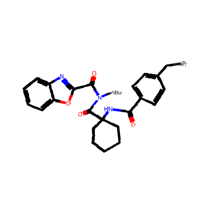 CCCCN(C(=O)c1nc2ccccc2o1)C(=O)C1(NC(=O)c2ccc(CC(C)C)cc2)CCCCC1